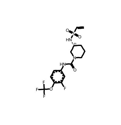 C=CS(=O)(=O)N[C@@H]1CCCN(C(=O)Nc2ccc(OC(F)(F)F)c(F)c2)C1